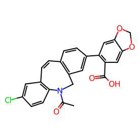 CC(=O)N1Cc2cc(-c3cc4c(cc3C(=O)O)OCO4)ccc2C=Cc2cc(Cl)ccc21